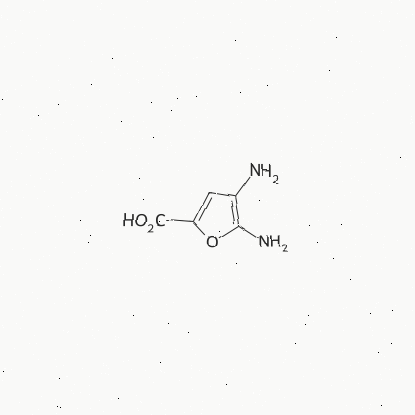 Nc1cc(C(=O)O)oc1N